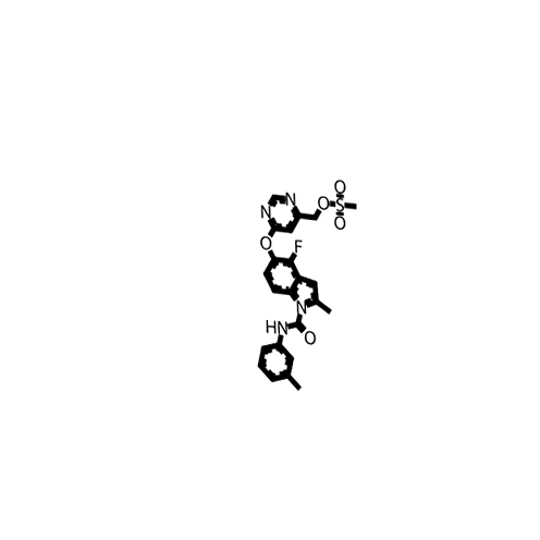 Cc1cccc(NC(=O)n2c(C)cc3c(F)c(Oc4cc(COS(C)(=O)=O)ncn4)ccc32)c1